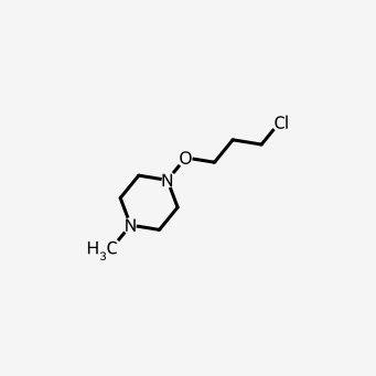 CN1CCN(OCCCCl)CC1